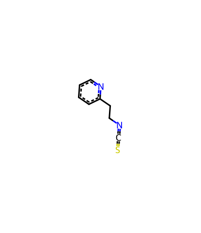 S=C=NCCc1ccccn1